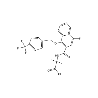 CC(C)(NC(=O)c1cc(F)c2ccccc2c1OCc1ccc(C(F)(F)F)cc1)C(=O)O